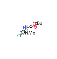 CNc1cc(Cl)ncc1-c1nnc(C2CN(C(=O)OC(C)(C)C)C2)s1